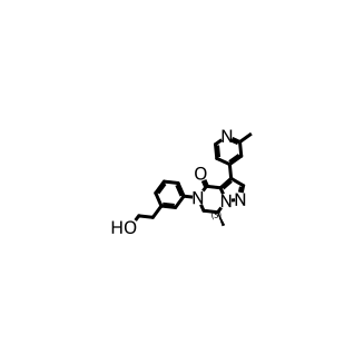 Cc1cc(-c2cnn3c2C(=O)N(c2cccc(CCO)c2)C[C@@H]3C)ccn1